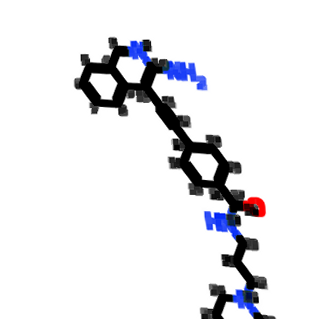 Nc1ncc2ccccc2c1C#Cc1ccc(C(=O)NCCCN2CCCCC2)cc1